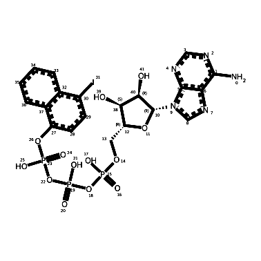 Nc1ncnc2c1ncn2[C@@H]1O[C@H](COP(=O)(O)OP(=O)(O)OP(=O)(O)Oc2ccc(I)c3ccccc23)[C@@H](O)[C@H]1O